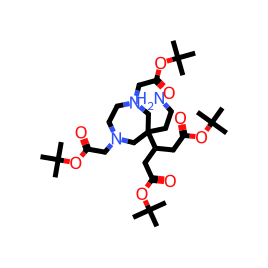 CC(C)(C)OC(=O)CC(CC(=O)OC(C)(C)C)C1(CCN)CN(CC(=O)OC(C)(C)C)CCN(CC(=O)OC(C)(C)C)C1